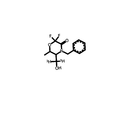 [2H]C([2H])(O)C1C(C)OC(F)(F)C(=O)N1Cc1ccccc1